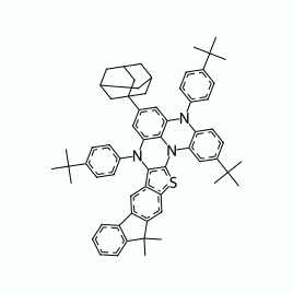 CC(C)(C)c1ccc(N2c3ccc(C(C)(C)C)cc3N3c4sc5cc6c(cc5c4N(c4ccc(C(C)(C)C)cc4)c4cc(C57CC8CC(CC(C8)C5)C7)cc2c43)-c2ccccc2C6(C)C)cc1